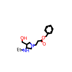 CCNC1CN(CCC(=O)OCc2ccccc2)CC1CO